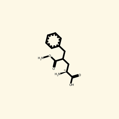 NOC(=O)C(Cc1ccccc1)C[C@H](N)C(=O)O